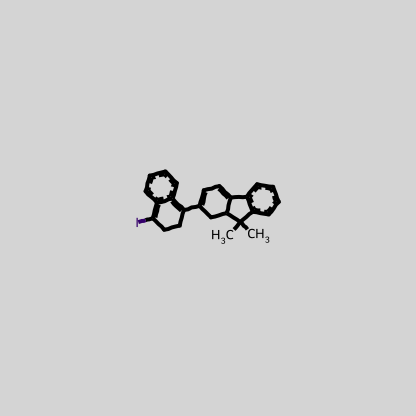 CC1(C)c2ccccc2C2=CC=C(C3=c4ccccc4=C(I)CC3)CC21